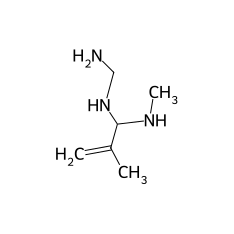 C=C(C)C(NC)NCN